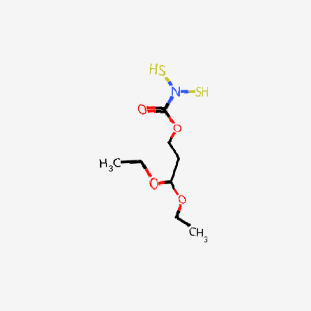 CCOC(CCOC(=O)N(S)S)OCC